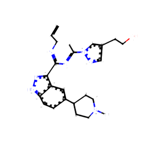 C=CC/N=C(\N=C(/C)n1cc(CCO)cn1)c1n[nH]c2ccc(C3CCN(CC)CC3)cc12